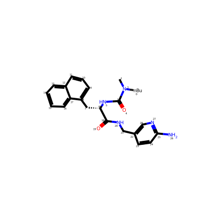 CCCCN(C)C(=O)N[C@@H](Cc1cccc2ccccc12)C(=O)NCc1ccc(N)nc1